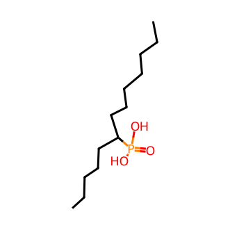 CCCCCCCC(CCCCC)P(=O)(O)O